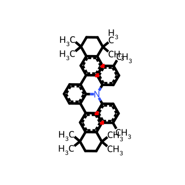 Cc1ccc(N(c2ccc(C)cc2)c2c(-c3ccc4c(c3)C(C)(C)CCC4(C)C)cccc2-c2ccc3c(c2)C(C)(C)CCC3(C)C)cc1